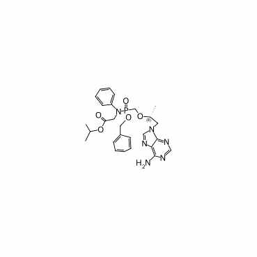 CC(C)OC(=O)CN(c1ccccc1)P(=O)(CO[C@H](C)Cn1cnc2c(N)ncnc21)OCc1ccccc1